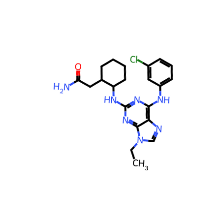 CCn1cnc2c(Nc3cccc(Cl)c3)nc(NC3CCCCC3CC(N)=O)nc21